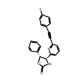 O=C1N[C@H](c2cccc(C#Cc3ccc(F)cc3)n2)[C@@H](c2ccccc2)O1